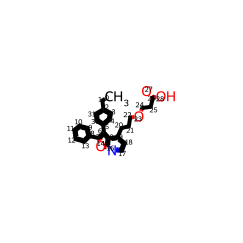 CCc1ccc(-c2c(-c3ccccc3)oc3nccc(CCCOCCC(=O)O)c23)cc1